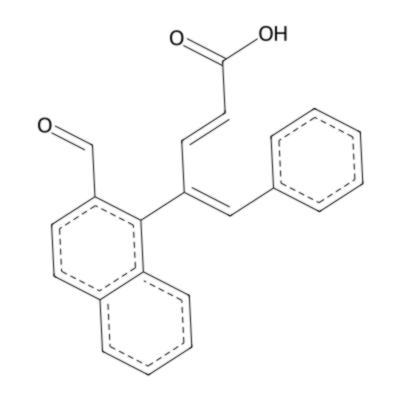 O=Cc1ccc2ccccc2c1C(C=CC(=O)O)=Cc1ccccc1